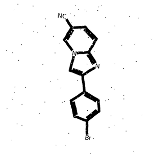 N#Cc1ccc2nc(-c3ccc(Br)cc3)cn2c1